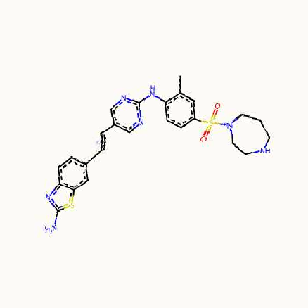 Cc1cc(S(=O)(=O)N2CCCNCC2)ccc1Nc1ncc(/C=C/c2ccc3nc(N)sc3c2)cn1